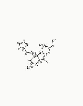 Cc1c(C[C@@H](N)CF)sc2c(NCc3cccs3)cc(Cl)nc12